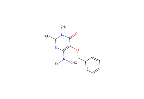 CCN(C=O)c1nc(C)n(C)c(=O)c1OCc1ccccc1